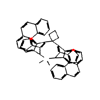 [CH3][Hf]1([CH3])[CH]2C(c3cccc4ccc5ccccc5c34)=C(c3ccccc32)C2(CCC2)C2=C(c3cccc4ccc5ccccc5c34)[CH]1c1ccccc12